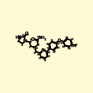 NC(=O)CN(CCN1CCNC1=O)Cc1cccc(-c2ccc(Oc3ccc(F)cc3)cc2)n1